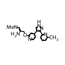 CN/C=C(\N)COc1cc(-c2c[nH]nc2-c2cccc(C)n2)ccn1